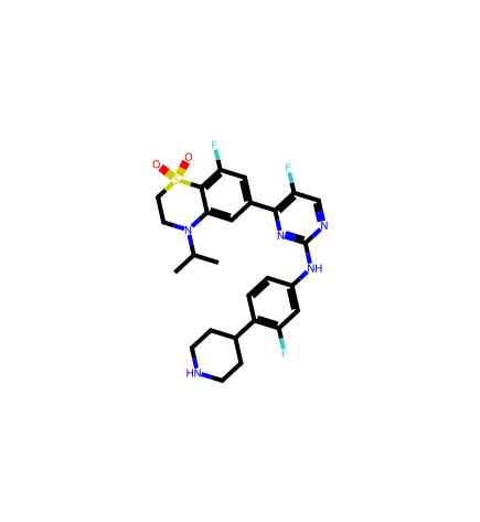 CC(C)N1CCS(=O)(=O)c2c(F)cc(-c3nc(Nc4ccc(C5CCNCC5)c(F)c4)ncc3F)cc21